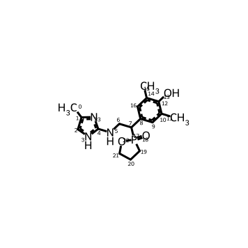 Cc1c[nH]c(NCC(c2cc(C)c(O)c(C)c2)P2(=O)CCCO2)n1